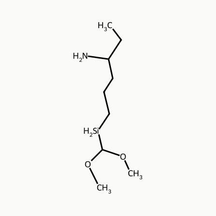 CCC(N)CCC[SiH2]C(OC)OC